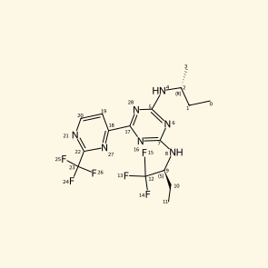 CC[C@@H](C)Nc1nc(N[C@@H](CC)C(F)(F)F)nc(-c2ccnc(C(F)(F)F)n2)n1